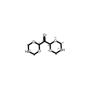 O=C(C1OCBCO1)C1OCBCO1